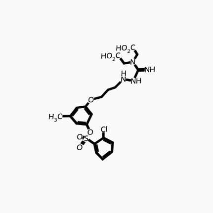 Cc1cc(OCCCNNC(=N)N(CC(=O)O)CC(=O)O)cc(OS(=O)(=O)c2ccccc2Cl)c1